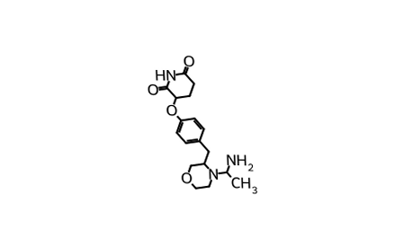 CC(N)N1CCOCC1Cc1ccc(OC2CCC(=O)NC2=O)cc1